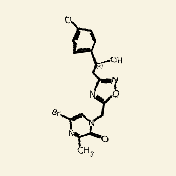 Cc1nc(Br)cn(Cc2nc(C[C@H](O)c3ccc(Cl)cc3)no2)c1=O